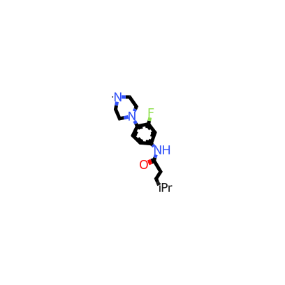 CC(C)CCC(=O)Nc1ccc(N2CC[N]CC2)c(F)c1